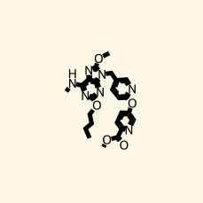 CCCCOc1nc(NC)c2nc(OC)n(Cc3ccc(Oc4ccc(C(=O)OC)nc4)nc3)c2n1